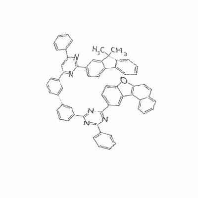 CC1(C)c2ccccc2-c2ccc(-c3nc(-c4ccccc4)cc(-c4cccc(-c5cccc(-c6nc(-c7ccccc7)nc(-c7ccc8oc9ccc%10ccccc%10c9c8c7)n6)c5)c4)n3)cc21